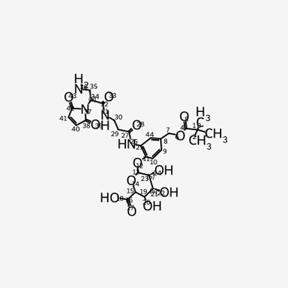 CC(C)(C)C(=O)OCc1ccc(OC2OC(C(=O)O)C(O)[C@H](O)[C@@H]2O)c(NC(=O)CCNC(=O)[C@H](CN)N2C(=O)C=CC2=O)c1